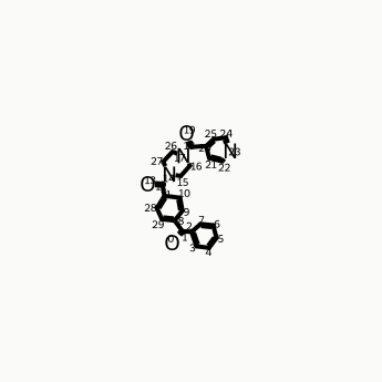 O=C(c1ccccc1)c1ccc(C(=O)N2CCN(C(=O)c3ccncc3)CC2)cc1